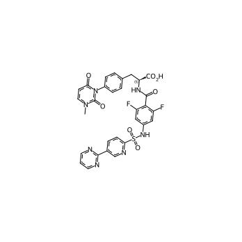 Cn1ccc(=O)n(-c2ccc(C[C@H](NC(=O)c3c(F)cc(NS(=O)(=O)c4ccc(-c5ncccn5)cn4)cc3F)C(=O)O)cc2)c1=O